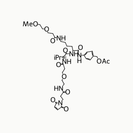 COCCOCCC(=O)NCCCCC(NC(=O)[C@@H](NC(=O)CCOCCNC(=O)CCN1C(=O)C=CC1=O)C(C)C)C(=O)Nc1ccc(COC(C)=O)cc1